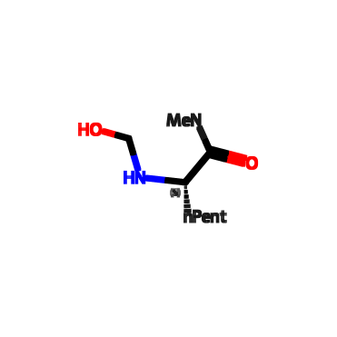 CCCCC[C@H](NCO)C(=O)NC